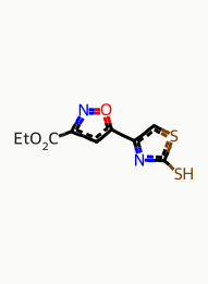 CCOC(=O)c1cc(-c2csc(S)n2)on1